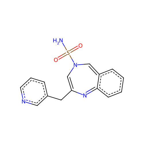 NS(=O)(=O)N1C=C(Cc2cccnc2)N=c2ccccc2=C1